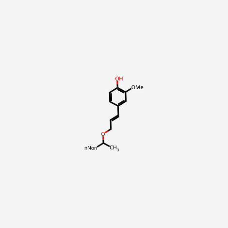 CCCCCCCCCC(C)OCC=Cc1ccc(O)c(OC)c1